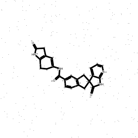 O=C1CC2=C(CCC(NC(=O)c3ccc4c(c3)CC3(C4)C(=O)Nc4ncccc43)=C2)N1